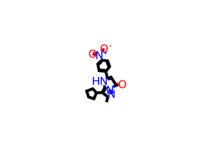 Cc1nn2c(=O)cc(-c3ccc([N+](=O)[O-])cc3)[nH]c2c1C1CCCC1